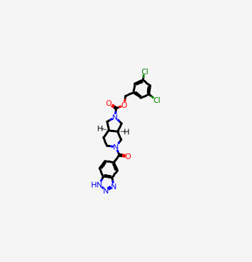 O=C(OCc1cc(Cl)cc(Cl)c1)N1C[C@@H]2CCN(C(=O)c3ccc4[nH]nnc4c3)C[C@@H]2C1